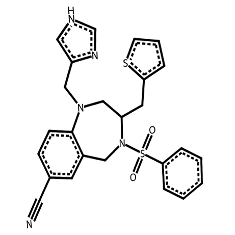 N#Cc1ccc2c(c1)CN(S(=O)(=O)c1ccccc1)C(Cc1cccs1)CN2Cc1c[nH]cn1